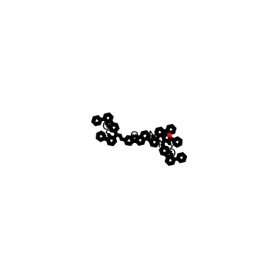 c1ccc(-c2ccc3c(c2)c2c(N(c4ccc5c(c4)oc4c(-c6ccccc6)cccc45)c4cccc5c4sc4ccccc45)ccc4c5c6ccc7c8ccc(CCC(c9ccc%10c(c9)oc9c(-c%11ccccc%11)cccc9%10)c9cccc%10c9sc9ccccc9%10)cc8oc7c6ccc5n3c42)cc1